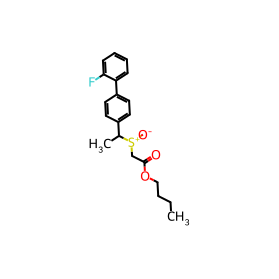 CCCCOC(=O)C[S+]([O-])C(C)c1ccc(-c2ccccc2F)cc1